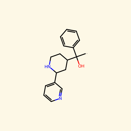 [CH2]C(O)(c1ccccc1)C1CCNC(c2cccnc2)C1